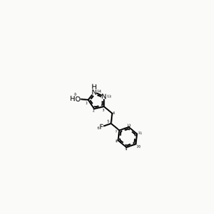 Oc1cc(CC(F)c2ccccc2)n[nH]1